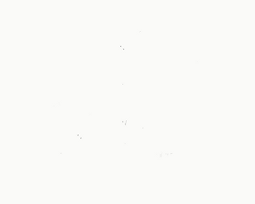 CCCCCCCCCCCCSCC(=O)O.O=C1C=C(N2CC2)C(=O)C(N2CC2)=C1N1CC1